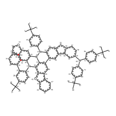 CC(C)(C)c1ccc(N2B3c4cc5occc5cc4N(c4ccc(C(C)(C)C)cc4-c4ccccc4)c4c3c(cc3c4oc4ccccc43)-c3cc4c(cc32)sc2ccc(N(c3ccc(C(C)(C)C)cc3)c3ccc(C(C)(C)C)cc3)cc24)cc1